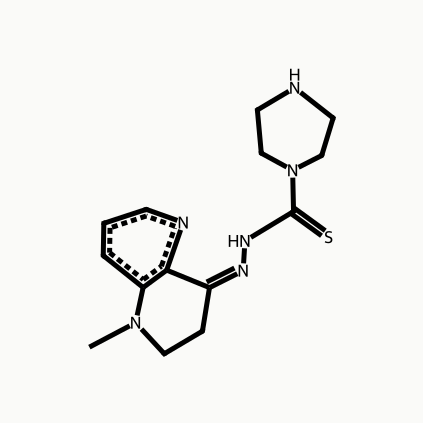 CN1CC/C(=N/NC(=S)N2CCNCC2)c2ncccc21